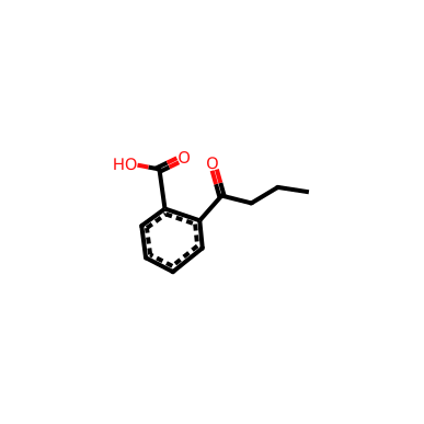 CCCC(=O)c1ccccc1C(=O)O